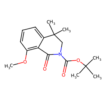 COc1cccc2c1C(=O)N(C(=O)OC(C)(C)C)CC2(C)C